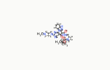 CN1CC2CN(c3ncc4c(=O)c(C(=O)NCC5CCCN5C(=O)OC(C)(C)C)c5[nH]c6ccccc6n5c4n3)CC2C1